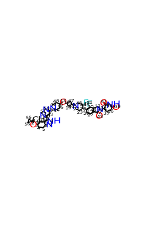 CC1(Oc2ccc3n[nH]c(-c4cc(N5CCC(OC6CC(N7CC[C@@H](c8ccc9c(c8F)CN(C8CCC(=O)NC8=O)C9=O)[C@@H](F)C7)C6)CC5)ncn4)c3c2)CC1